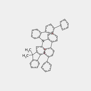 CC1(C)c2ccccc2-c2ccc(N(c3ccccc3-c3ccc(-c4ccccc4)cc3)c3ccccc3-c3ccc(-c4ccccc4)cc3)cc21